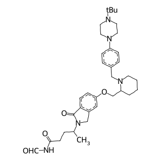 CC(CCC(=O)NC=O)N1Cc2cc(OCC3CCCCN3Cc3ccc(N4CCN(C(C)(C)C)CC4)cc3)ccc2C1=O